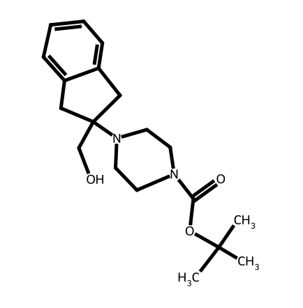 CC(C)(C)OC(=O)N1CCN(C2(CO)Cc3ccccc3C2)CC1